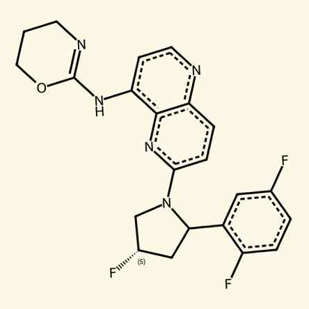 Fc1ccc(F)c(C2C[C@H](F)CN2c2ccc3nccc(NC4=NCCCO4)c3n2)c1